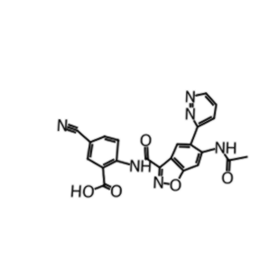 CC(=O)Nc1cc2onc(C(=O)Nc3ccc(C#N)cc3C(=O)O)c2cc1-c1cccnn1